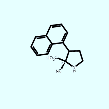 N#C[C@]1(C(=O)O)NCCC1c1cccc2ccccc12